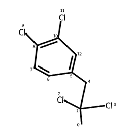 CC(Cl)(Cl)Cc1ccc(Cl)c(Cl)c1